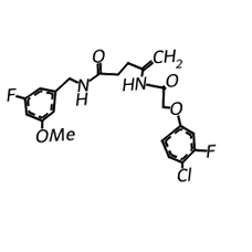 C=C(CCC(=O)NCc1cc(F)cc(OC)c1)NC(=O)COc1ccc(Cl)c(F)c1